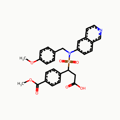 COC(=O)c1ccc(C(CC(=O)O)S(=O)(=O)N(Cc2ccc(OC)cc2)c2ccc3cnccc3c2)cc1